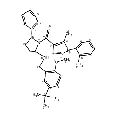 COc1ccc(C(C)(C)C)cc1CNC1CCC(c2ccccc2)N1C(=O)c1cnn(-c2ccccc2C)c1C